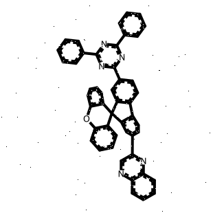 c1ccc(-c2nc(-c3ccccc3)nc(-c3ccc4c(c3)C3(c5ccccc5Oc5ccccc53)c3cc(-c5cnc6ccccc6n5)ccc3-4)n2)cc1